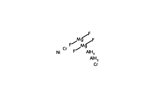 [AlH3].[AlH3].[Cr].[Cr].[F][Mg][F].[F][Mg][F].[Ni]